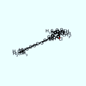 COc1cc2c(cc1-c1ccc(NC(=O)NCCOCCOCCOCCOCCOCCOCCNC(=O)OC(C)(C)C)cc1)-c1c(c(C(=O)N(C)C(C)(C)C)nn1-c1cc(Cl)cc(Cl)c1)CO2